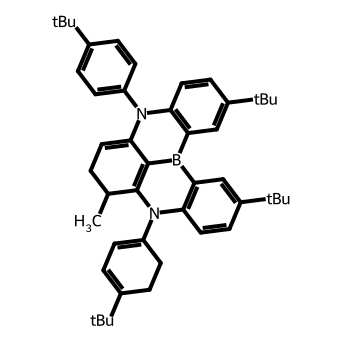 CC1CC=C2C3=C1N(C1=CC=C(C(C)(C)C)CC1)c1ccc(C(C)(C)C)cc1B3c1cc(C(C)(C)C)ccc1N2c1ccc(C(C)(C)C)cc1